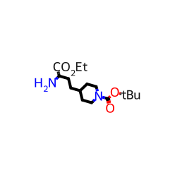 CCOC(=O)C(N)CCC1CCN(C(=O)OC(C)(C)C)CC1